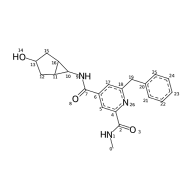 CNC(=O)c1cc(C(=O)NC2C3CC(O)CC32)cc(Cc2ccccc2)n1